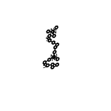 c1ccc(-c2nc(-c3ccc(-c4ccc5c(-c6ccc(-c7ccc8sc9cccc(-c%10ccccc%10-c%10nc(-c%11ccccc%11)nc(-c%11ccccc%11)n%10)c9c8c7)cc6)cccc5c4)cc3)nc(-c3ccc(-c4cccc5sc6ccc(-c7ccc8c9c(cccc79)-c7ccccc7-8)cc6c45)cc3)n2)cc1